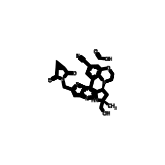 C[C@]1(CO)C[C@H](N2CCOc3cc(C#N)cc(-c4ccnc5cc(CN6C(=O)C7CC7C6=O)sc45)c32)CN1.O=CO